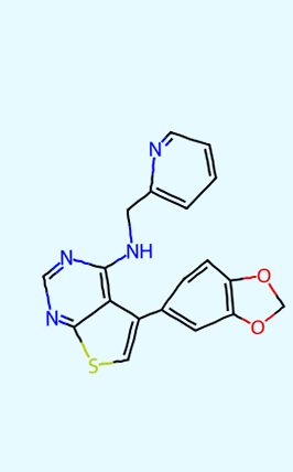 c1ccc(CNc2ncnc3scc(-c4ccc5c(c4)OCO5)c23)nc1